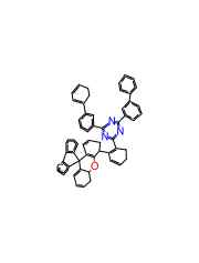 C1=CCCC(c2cccc(-c3nc(C4=C(C5CC=CC6=C5OC5CC=CC=C5C65c6ccccc6-c6ccccc65)C=CCC4)nc(-c4cccc(-c5ccccc5)c4)n3)c2)=C1